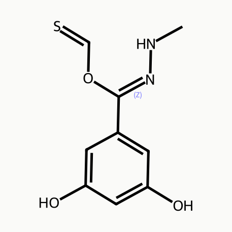 CN/N=C(\OC=S)c1cc(O)cc(O)c1